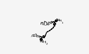 CCCCCCCCCCCCC(c1ccc(N)cc1)c1ccc(CCCCCCCCCCCCCCCc2ccc(C(CCCCCCCCCCCC)c3ccc(N)cc3)cc2)cc1